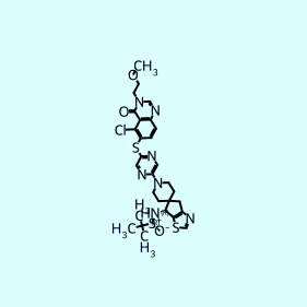 COCCn1cnc2ccc(Sc3cnc(N4CCC5(CC4)Cc4ncsc4[C@@H]5N[S@@+]([O-])C(C)(C)C)cn3)c(Cl)c2c1=O